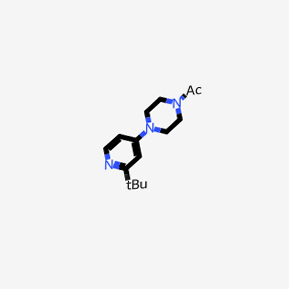 CC(=O)N1CCN(c2ccnc(C(C)(C)C)c2)CC1